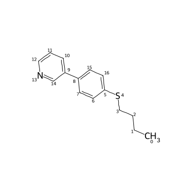 CCCCSc1ccc(-c2cccnc2)cc1